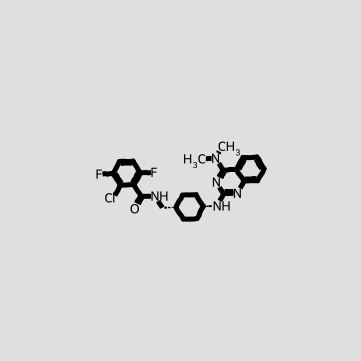 CN(C)c1nc(N[C@H]2CC[C@@H](CNC(=O)c3c(F)ccc(F)c3Cl)CC2)nc2ccccc12